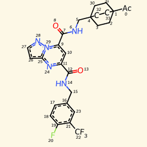 CC(=O)C12CCC(CNC(=O)c3cc(C(=O)NCc4ccc(F)c(C(F)(F)F)c4)nc4ccnn34)(CC1)CC2